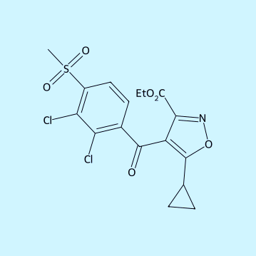 CCOC(=O)c1noc(C2CC2)c1C(=O)c1ccc(S(C)(=O)=O)c(Cl)c1Cl